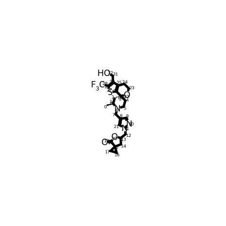 C[C@H]1C[C@@]2(CCN1Cc1cnn(CC3CC4(CC4)C(=O)O3)c1)OCCc1c2sc(C(F)(F)F)c1CO